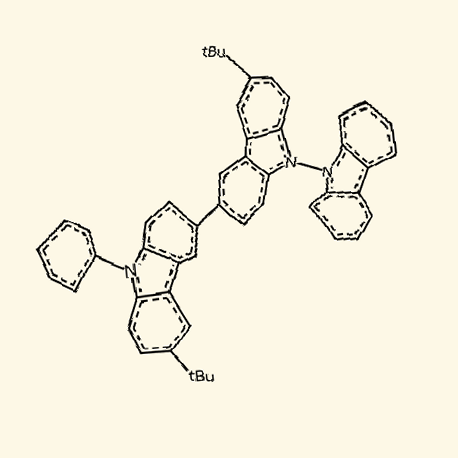 CC(C)(C)c1ccc2c(c1)c1cc(-c3ccc4c(c3)c3cc(C(C)(C)C)ccc3n4-n3c4ccccc4c4ccccc43)ccc1n2-c1ccccc1